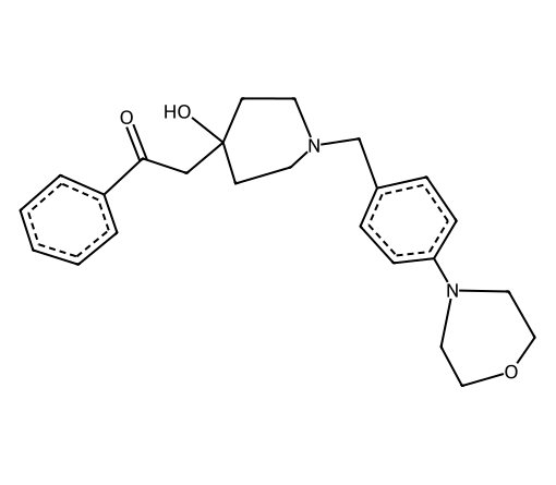 O=C(CC1(O)CCN(Cc2ccc(N3CCOCC3)cc2)CC1)c1ccccc1